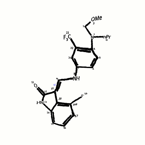 CCCN(COC)c1ccc(N/C=C2/C(=O)Nc3cccc(F)c32)cc1C(F)(F)F